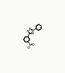 O=[N+]([O-])c1cccc(-c2nnn(-c3ccccc3)n2)c1